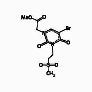 COC(=O)Cn1cc(Br)c(=O)n(CCS(C)(=O)=O)c1=O